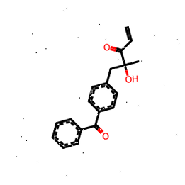 [CH2]C(O)(Cc1ccc(C(=O)c2ccccc2)cc1)C(=O)C=C